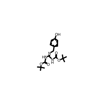 CC(C)(C)OC(=O)NC(=NCc1ccc(O)cc1)NC(=O)OC(C)(C)C